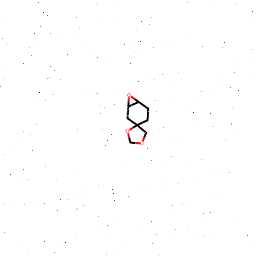 C1OCC2(CCC3OC3C2)O1